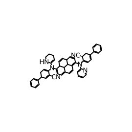 N#CC1=CC(c2ccccc2)CC=C1N(C1=CCCCN1)C1=CC=C2C=CC3=C(N(C4=CC=C(c5ccccc5)C[C@@H]4C#N)c4ccccn4)C=CC4C=CC1C2C34